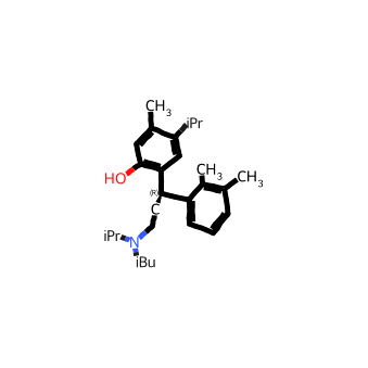 CCC(C)N(CC[C@@H](c1cc(C(C)C)c(C)cc1O)c1cccc(C)c1C)C(C)C